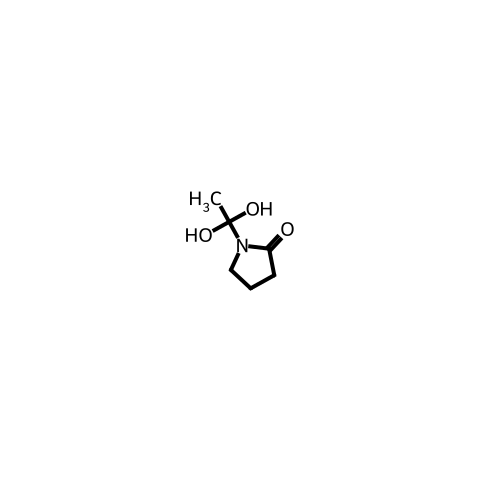 CC(O)(O)N1CCCC1=O